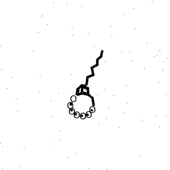 CCCCCCCCCc1c2cccc1OOOOOOOCC2